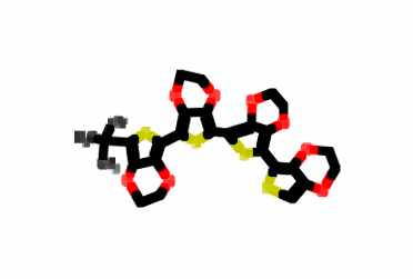 CCCC(C)(C)c1sc(-c2sc(-c3sc(-c4scc5c4OCCO5)c4c3OCCO4)c3c2OCCO3)c2c1OCCO2